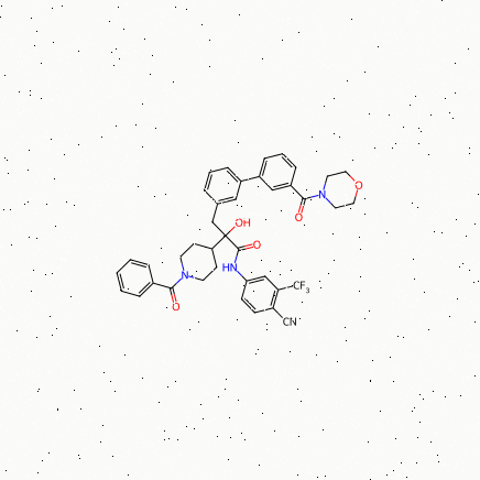 N#Cc1ccc(NC(=O)C(O)(Cc2cccc(-c3cccc(C(=O)N4CCOCC4)c3)c2)C2CCN(C(=O)c3ccccc3)CC2)cc1C(F)(F)F